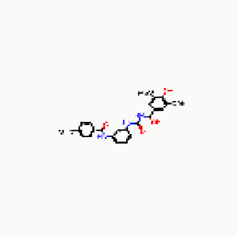 COc1ccc(C(=O)Nc2cccc(NC(=O)N[C@H](O)c3cc(OC)c(O)c(OC)c3)c2)cc1